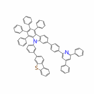 c1ccc(-c2cc(-c3ccccc3)nc(-c3ccc(-c4ccc5c6c(-c7ccccc7)c(-c7ccccc7)c(-c7ccccc7)c(-c7ccccc7)c6n(-c6cccc(-c7ccc8c(c7)sc7ccccc78)c6)c5c4)cc3)c2)cc1